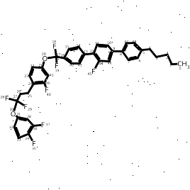 CCCCCc1ccc(-c2ccc(-c3ccc(C(F)(F)Oc4ccc(CCC(F)(F)Oc5ccc(F)c(F)c5)c(F)c4)cc3)c(F)c2)cc1